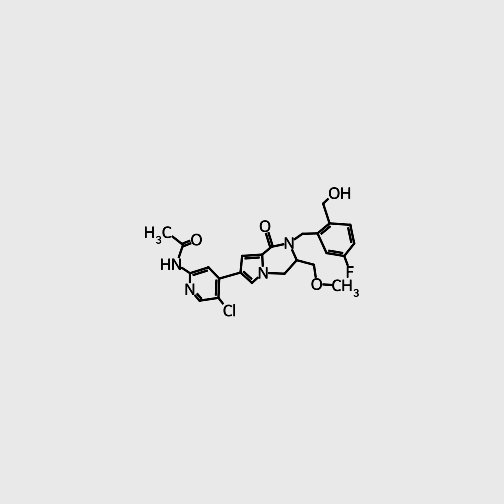 COCC1Cn2cc(-c3cc(NC(C)=O)ncc3Cl)cc2C(=O)N1Cc1cc(F)ccc1CO